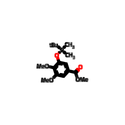 COC(=O)c1cc(OC)c(OC)c(O[Si](C)(C)C(C)(C)C)c1